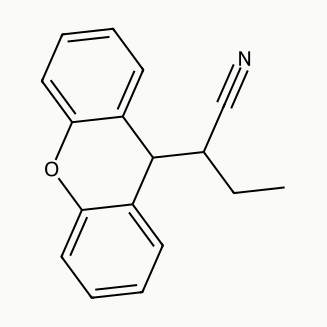 CCC(C#N)C1c2ccccc2Oc2ccccc21